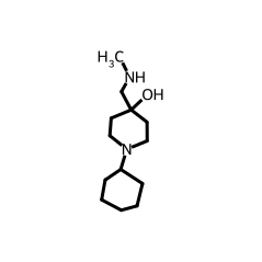 CNCC1(O)CCN(C2CCCCC2)CC1